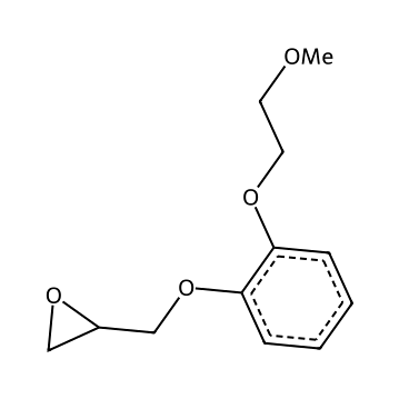 COCCOc1ccccc1OCC1CO1